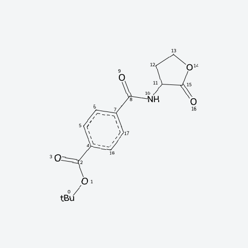 CC(C)(C)OC(=O)c1ccc(C(=O)NC2CCOC2=O)cc1